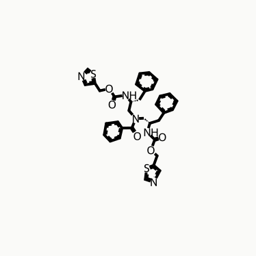 O=C(N[C@H](Cc1ccccc1)CN(C[C@H](Cc1ccccc1)NC(=O)OCc1cncs1)C(=O)c1ccccc1)OCc1cncs1